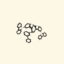 c1ccc(-c2cccc(-c3cc4c5cc(-n6c7ccccc7c7ccccc76)ccc5oc4c4oc5ccc(-n6c7ccccc7c7ccccc76)cc5c34)c2)cc1